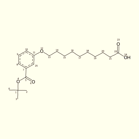 CC(C)(C)OC(=O)c1cccc(OCCCCCCCCCC(=O)O)c1